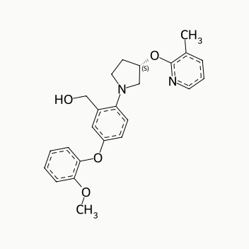 COc1ccccc1Oc1ccc(N2CC[C@H](Oc3ncccc3C)C2)c(CO)c1